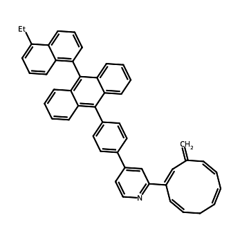 C=C1/C=C\C=C/C/C=C\C(c2cc(-c3ccc(-c4c5ccccc5c(-c5cccc6c(CC)cccc56)c5ccccc45)cc3)ccn2)=C/1